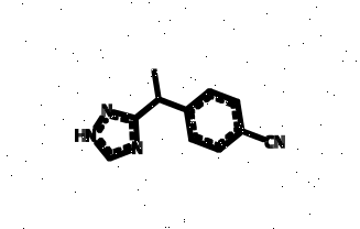 CC(c1ccc(C#N)cc1)c1nc[nH]n1